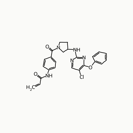 C=CC(=O)Nc1ccc(C(=O)N2CCC(Nc3ncc(Cl)c(Oc4ccccc4)n3)C2)cc1